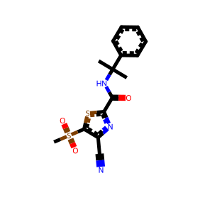 CC(C)(NC(=O)c1nc(C#N)c(S(C)(=O)=O)s1)c1ccccc1